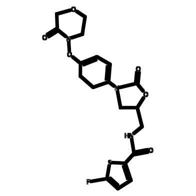 O=C(NCC1CN(C2=CC=C(ON3CCOCC3=O)CC2)C(=O)O1)c1ccc(F)s1